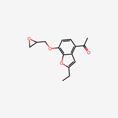 CCc1cc2c(C(C)=O)ccc(OCC3CO3)c2o1